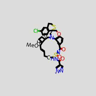 CO[C@H]1/C=C/CCC[S@@](=O)(NC(=O)c2cnn(C)c2)=NC(=O)c2ccc3c(c2)N(C[C@@H]2CC[C@H]21)C[C@]1(CO3)SCCc2cc(Cl)ccc21